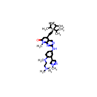 CC(C)[Si](C#Cc1cc(=O)n(C)c2nc(Nc3ccc(N(C)CCN(C)C)c(-c4cnn(C)c4)c3)ncc12)(C(C)C)C(C)C